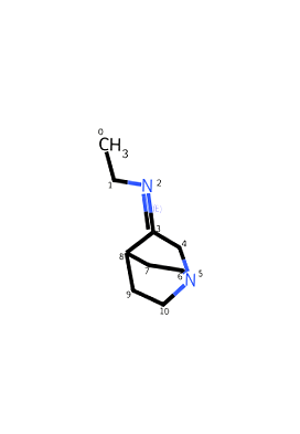 CC/N=C1/CN2CCC1CC2